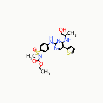 CCOC(=O)N=S(C)(=O)c1ccc(Nc2ncc(-c3cccs3)c(N[C@H](C)CO)n2)cc1